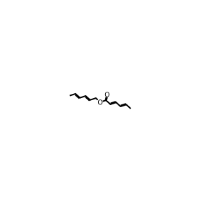 CC=CC=CCOC(=O)C=CC=CC